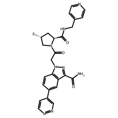 NC(=O)c1nn(CC(=O)N2C[C@H](F)C[C@H]2C(=O)NCc2ccncc2)c2ccc(-c3ccnnc3)cc12